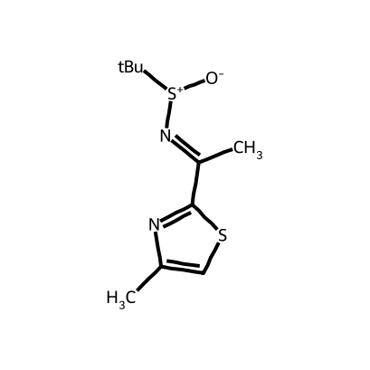 CC(=N[S+]([O-])C(C)(C)C)c1nc(C)cs1